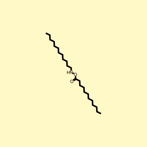 CCCCCCCCCCCCNOC(=O)CCCCCCCCCCC